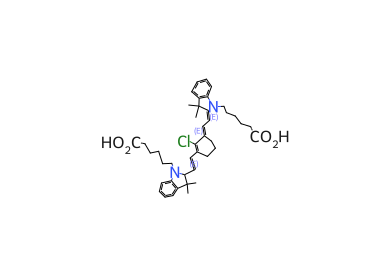 CC1(C)/C(=C\C=C2/CCCC(/C=C/C3N(CCCCCC(=O)O)c4ccccc4C3(C)C)=C2Cl)N(CCCCCC(=O)O)c2ccccc21